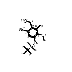 COc1c(O[Si](C)(C)C(C)(C)C)cc(Br)c(CO)c1C